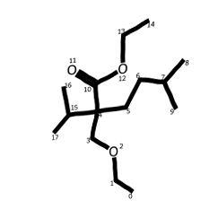 CCOCC(CCC(C)C)(C(=O)OCC)C(C)C